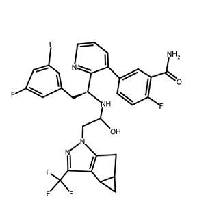 NC(=O)c1cc(-c2cccnc2[C@H](Cc2cc(F)cc(F)c2)NC(O)Cn2nc(C(F)(F)F)c3c2CC2CC32)ccc1F